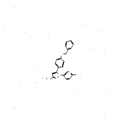 COc1ccc(-n2nc(OC(C)C)cc2-c2ccc(OCc3ccccc3)cc2)cn1